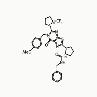 COc1ccc(Cn2c(N3CCC[C@H]3C(F)(F)F)nc3sc(N4CCC[C@@H]4C(=O)NCc4ccccc4)nc3c2=O)cc1